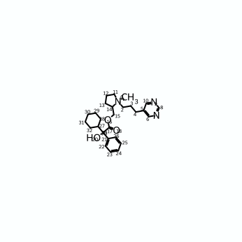 C[N+]1(CCCc2cncnc2)CCCC1COC(=O)[C@](O)(c1ccccc1)C1CCCCC1